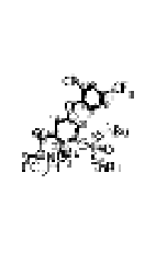 CCCCSP(=O)(SCCCC)SCCCC.CCOC(=O)COC(=O)c1cc(Oc2ccc(C(F)(F)F)cc2Cl)ccc1[N+](=O)[O-]